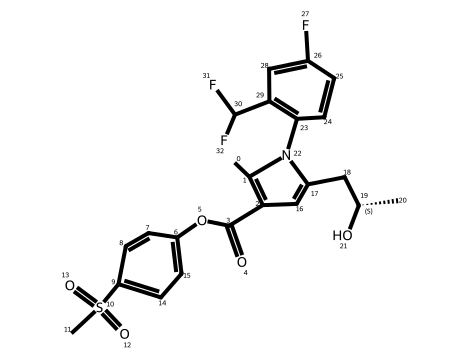 Cc1c(C(=O)Oc2ccc(S(C)(=O)=O)cc2)cc(C[C@H](C)O)n1-c1ccc(F)cc1C(F)F